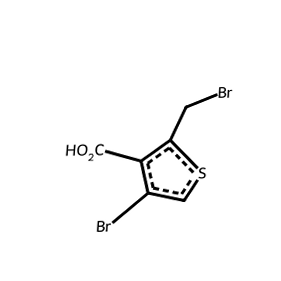 O=C(O)c1c(Br)csc1CBr